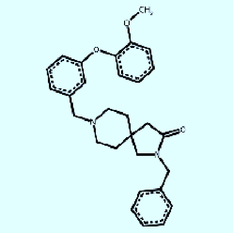 COc1ccccc1Oc1cccc(CN2CCC3(CC2)CC(=O)N(Cc2ccccc2)C3)c1